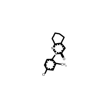 Cc1cc(Cl)ccc1-n1nc2c(cc1=O)CCCC2